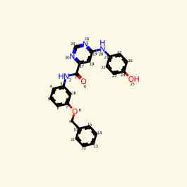 O=C(Nc1cccc(OCc2ccccc2)c1)c1cc(Nc2ccc(O)cc2)ncn1